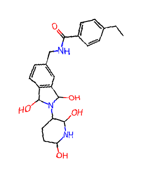 CCc1ccc(C(=O)NCc2ccc3c(c2)C(O)N(C2CCC(O)NC2O)C3O)cc1